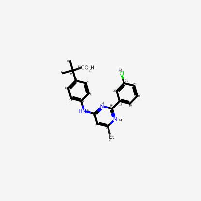 CCc1cc(Nc2ccc(C(C)(C)C(=O)O)cc2)nc(-c2cccc(Cl)c2)n1